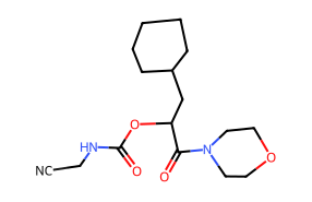 N#CCNC(=O)OC(CC1CCCCC1)C(=O)N1CCOCC1